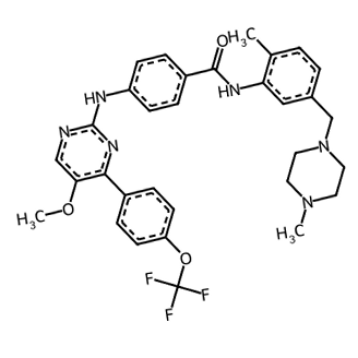 COc1cnc(Nc2ccc(C(=O)Nc3cc(CN4CCN(C)CC4)ccc3C)cc2)nc1-c1ccc(OC(F)(F)F)cc1